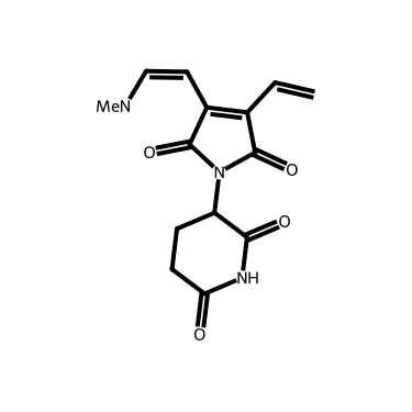 C=CC1=C(/C=C\NC)C(=O)N(C2CCC(=O)NC2=O)C1=O